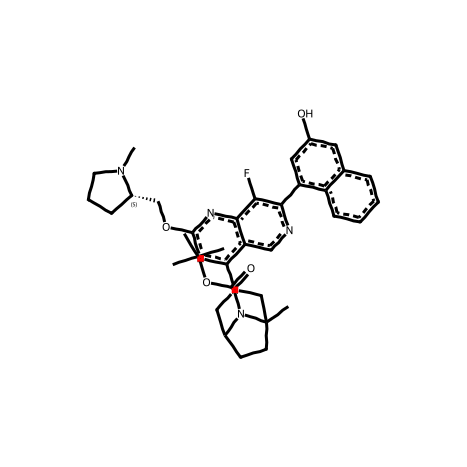 CN1CCC[C@H]1COc1nc(N2CC3CCC(C)(C2)N3C(=O)OC(C)(C)C)c2cnc(-c3cc(O)cc4ccccc34)c(F)c2n1